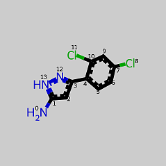 Nc1cc(-c2ccc(Cl)cc2Cl)n[nH]1